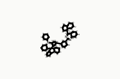 c1ccc(N2c3ccccc3C3(c4ccccc4-c4ccccc43)c3cc(-c4cccc(-c5nc(-c6cccc7ccccc67)c6ccccc6n5)c4)ccc32)cc1